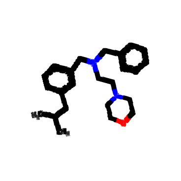 CC(C)Cc1cccc(CN(CCN2CCOCC2)Cc2ccccc2)c1